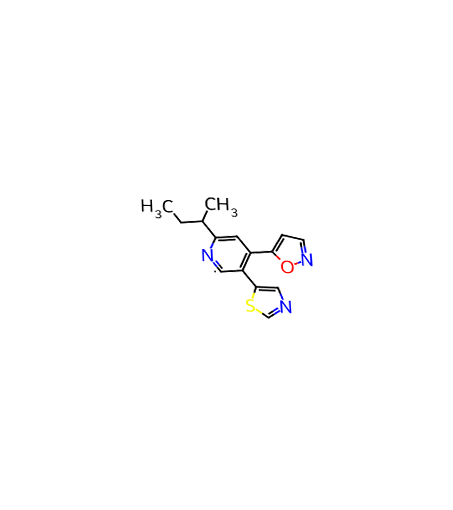 CCC(C)c1cc(-c2ccno2)c(-c2cncs2)[c]n1